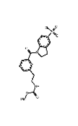 CC(C)(C)OC(=O)NCCc1cccc(C(=O)N2CCc3cc(S(=O)(=O)Cl)ccc32)c1